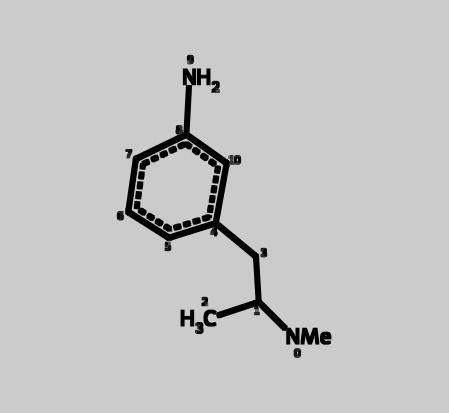 CNC(C)Cc1cccc(N)c1